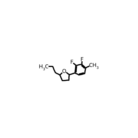 CCCC1CCC(c2ccc(C)c(F)c2F)O1